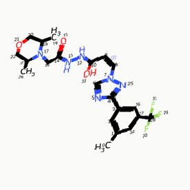 Cc1cc(-c2ncn(/C=C\C(O)NNC(=O)CN3C(C)COCC3C)n2)cc(C(F)(F)F)c1